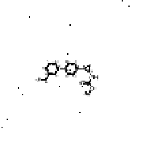 CC(C)(C)OC(=O)N[C@H]1C[C@@H]1c1ccc(-c2cccc(CF)c2)cc1